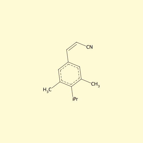 Cc1cc(/C=C\C#N)cc(C)c1C(C)C